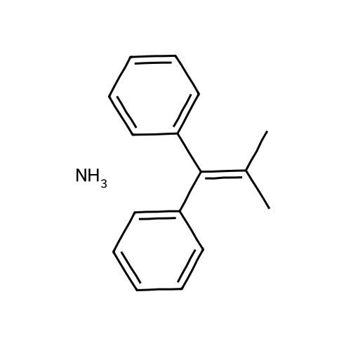 CC(C)=C(c1ccccc1)c1ccccc1.N